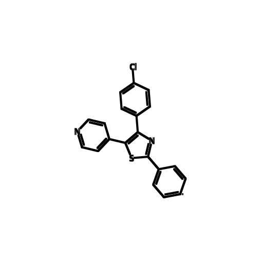 Clc1ccc(-c2nc(-c3cc[c]cc3)sc2-c2ccncc2)cc1